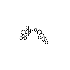 O=C1NC(Cc2ccc(OCCN3COc4c(cccc4[N+](=O)[O-])C3=O)cc2)C(=O)S1